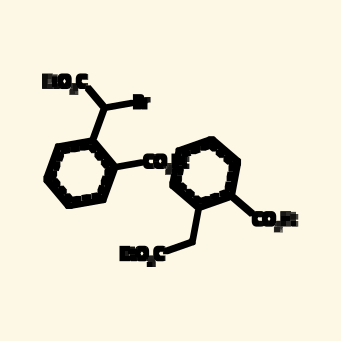 CCOC(=O)Cc1ccccc1C(=O)OCC.CCOC(=O)c1ccccc1C(Br)C(=O)OCC